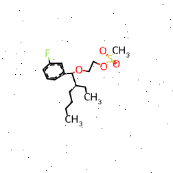 CCCC[C@H](CC)[C@@H](OCCOS(C)(=O)=O)c1cccc(F)c1